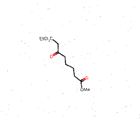 CCOC(=O)CC(=O)CCCCC(=O)OC